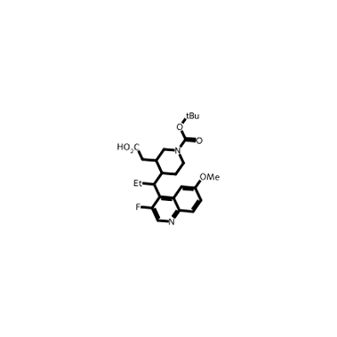 CCC(c1c(F)cnc2ccc(OC)cc12)C1CCN(C(=O)OC(C)(C)C)CC1CC(=O)O